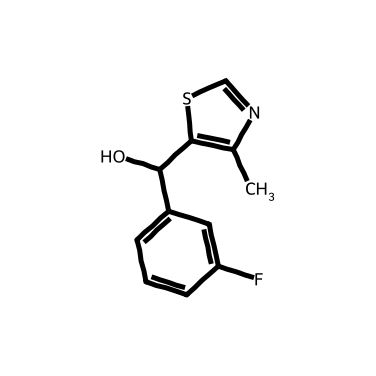 Cc1ncsc1C(O)c1cccc(F)c1